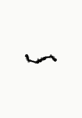 C=C(CC(=O)OC1CCCCC1)C(=O)OCCCCCCOc1ccc2c(c1)C(C)c1cc(C(=O)Oc3ccc(OCCCCOC(=O)C(=C)CC(=O)OC4CCCCC4)cc3)ccc1-2